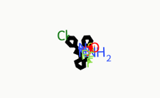 NS(=O)(=O)c1ccccc1-n1nc(-c2ccccc2C(F)(F)F)cc1-c1ccc(Cl)cc1